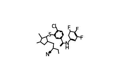 C=C(NC1=CC(F)=C(F)C(F)C1)c1ccc(Cl)c(SC2C(CC(C#N)CC)CC(C)C2C)c1